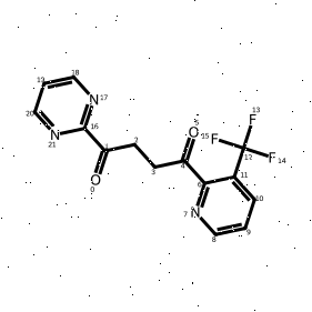 O=C(CCC(=O)c1ncccc1C(F)(F)F)c1ncccn1